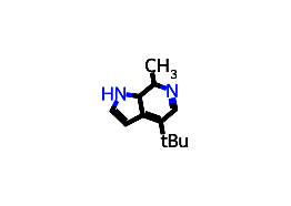 CC1N=CC(C(C)(C)C)=C2C=CNC21